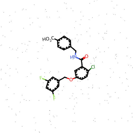 O=C(O)c1ccc(CNC(=O)c2cc(OCc3cc(F)cc(F)c3)ccc2Cl)cc1